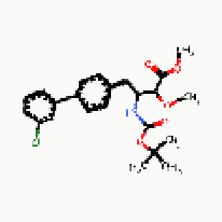 COC(=O)C(OC)C(Cc1ccc(-c2cccc(Cl)c2)cc1)NC(=O)OC(C)(C)C